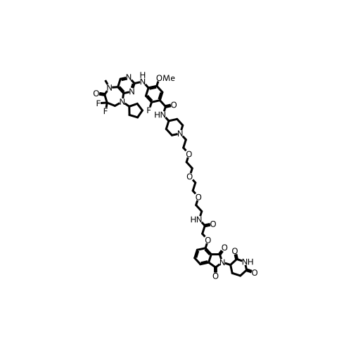 COc1cc(C(=O)NC2CCN(CCOCCOCCOCCNC(=O)COc3cccc4c3C(=O)N(C3CCC(=O)NC3=O)C4=O)CC2)c(F)cc1Nc1ncc2c(n1)N(C1CCCC1)CC(F)(F)C(=O)N2C